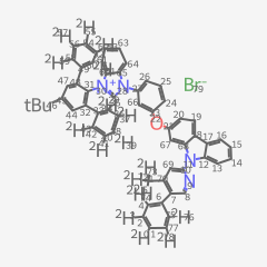 [2H]c1c([2H])c([2H])c(-c2cnc(-n3c4ccccc4c4ccc(Oc5cccc(-n6c[n+](-c7c(-c8c([2H])c([2H])c([2H])c([2H])c8[2H])cc(C(C)(C)C)cc7-c7c([2H])c([2H])c([2H])c([2H])c7[2H])c7ccccc76)c5)cc43)cc2C([2H])([2H])[2H])c([2H])c1[2H].[Br-]